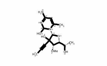 CC#CC1(O)[C@@H](OC)[C@@H]([C@H](C)O)O[C@H]1N1C(C)=CC(N)=NC1O